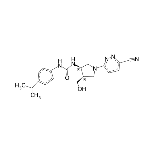 CC(C)c1ccc(NC(=O)N[C@H]2CN(c3ccc(C#N)nn3)C[C@H]2CO)cc1